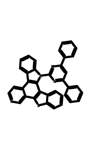 c1ccc(-c2cc(-c3ccccc3)nc(-n3c4ccccc4c4c5ccncc5c5sc6ccccc6c5c43)n2)cc1